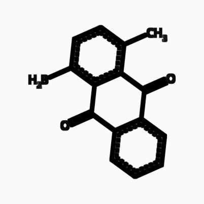 Bc1ccc(C)c2c1C(=O)c1ccccc1C2=O